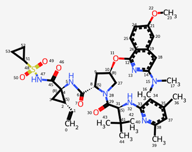 C=C[C@@H]1C[C@]1(NC(=O)[C@@H]1C[C@@H](Oc2nc(N(C)C)cc3cc(OC)ccc23)CN1C(=O)[C@@H](Nc1cc(C)cc(C)n1)C(C)(C)C)C(=O)NS(=O)(=O)C1CC1